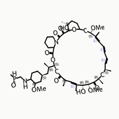 CO[C@H]1CC2CC[C@@H](C)[C@@](O)(O2)C(=O)C(=O)N2CCCCC2C(=O)O[C@H]([C@H](C)C[C@@H]2CCC(NC[PH](C)=O)[C@H](OC)C2)CC(=O)[C@H](C)/C=C(\C)[C@@H](O)[C@@H](OC)C(=O)[C@H](C)C[C@H](C)/C=C/C=C/C=C/1C